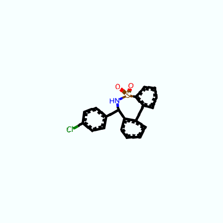 O=S1(=O)NC(c2ccc(Cl)cc2)c2ccccc2-c2ccccc21